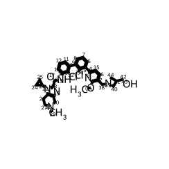 COc1nc(-c2cccc(-c3cccc(NC(=O)c4nc5c(n4C4CC4)CCN(C)C5)c3Cl)c2Cl)ccc1CN1CC(CO)C1